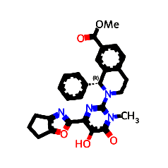 COC(=O)c1ccc2c(c1)[C@@H](c1ccccc1)N(c1nc(-c3nc4c(o3)CCC4)c(O)c(=O)n1C)CC2